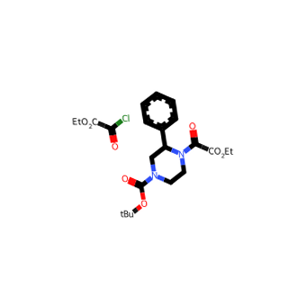 CCOC(=O)C(=O)Cl.CCOC(=O)C(=O)N1CCN(C(=O)OC(C)(C)C)CC1c1ccccc1